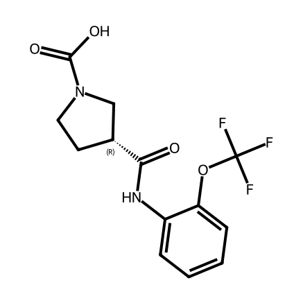 O=C(Nc1ccccc1OC(F)(F)F)[C@@H]1CCN(C(=O)O)C1